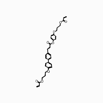 C=CC(=O)OCCCOc1ccc(OC(=O)CCc2ccc(-c3ccc(OCCCOC(=O)C=C)cc3)cc2)cc1